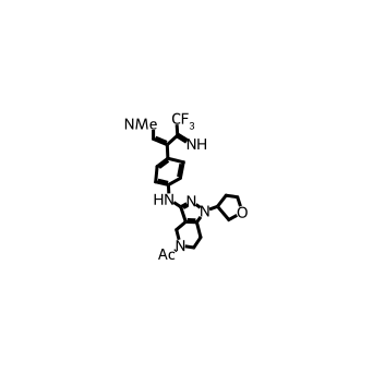 CN/C=C(\C(=N)C(F)(F)F)c1ccc(Nc2nn(C3CCOC3)c3c2CN(C(C)=O)CC3)cc1